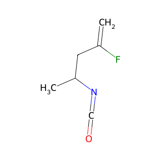 C=C(F)CC(C)N=C=O